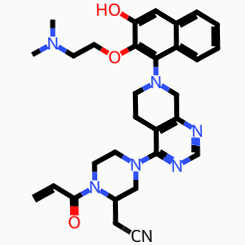 C=CC(=O)N1CCN(c2ncnc3c2CCN(c2c(OCCN(C)C)c(O)cc4ccccc24)C3)CC1CC#N